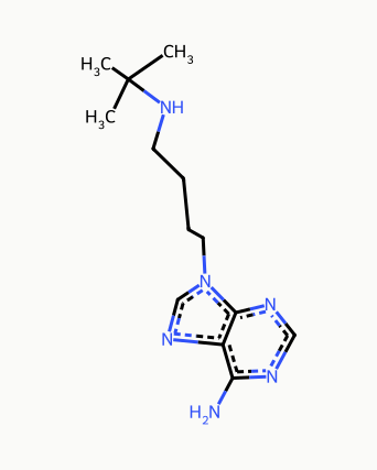 CC(C)(C)NCCCCn1cnc2c(N)ncnc21